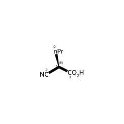 CCC[C@H](C#N)C(=O)O